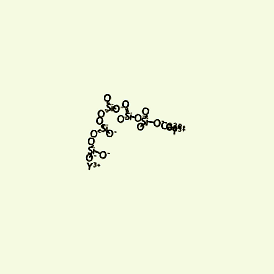 O=[Si]([O-])[O-].O=[Si]([O-])[O-].O=[Si]([O-])[O-].O=[Si]([O-])[O-].O=[Si]([O-])[O-].[Ca+2].[Ca+2].[Y+3].[Y+3]